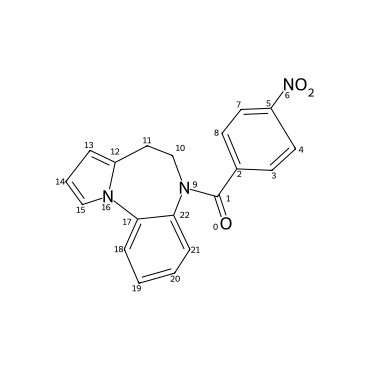 O=C(c1ccc([N+](=O)[O-])cc1)N1CCc2cccn2-c2ccccc21